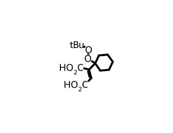 CC(C)(C)OOC1(C(=CC(=O)O)C(=O)O)CCCCC1